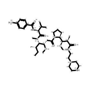 CC[C@H](C)[C@@H]([C@H](CC(=O)N1CCC[C@H]1[C@H](OC)[C@@H](C)C(=O)NCCN1CCNCC1)OC)N(C)C(=O)[C@@H](NC(=O)c1ccc(N)cc1)C(C)C